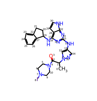 CC(C(=O)N1CCN(I)CC1)n1cc(Nc2nc(NC3CCc4ccccc43)c3cc[nH]c3n2)cn1